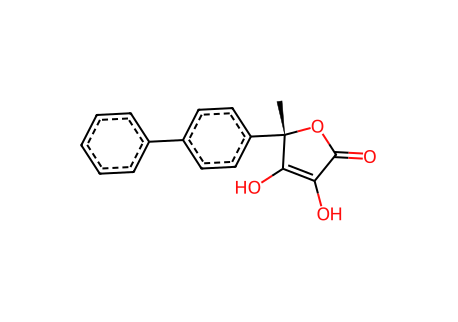 C[C@@]1(c2ccc(-c3ccccc3)cc2)OC(=O)C(O)=C1O